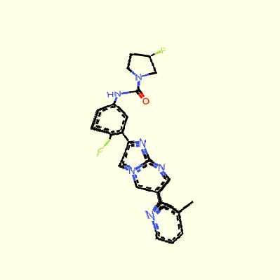 Cc1cccnc1-c1cnc2nc(-c3cc(NC(=O)N4CC[C@@H](F)C4)ccc3F)cn2c1